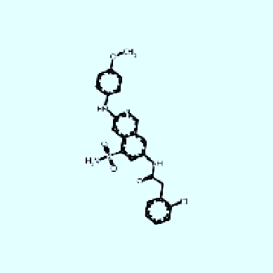 COc1ccc(Nc2cc3c(S(N)(=O)=O)cc(NC(=O)Cc4ccccc4Cl)cc3cn2)cc1